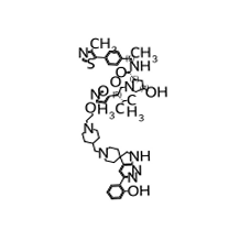 Cc1ncsc1-c1ccc([C@H](C)NC(=O)[C@@H]2C[C@@H](O)CN2C(=O)[C@@H](c2cc(OCCN3CCC(CN4CCC5(CC4)CNc4nnc(-c6ccccc6O)cc45)CC3)no2)C(C)C)cc1